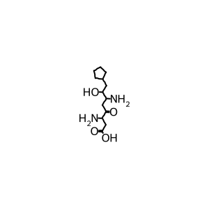 NC(CC(=O)O)C(=O)CC(N)C(O)CC1CCCC1